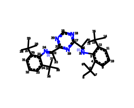 C/C(=N\c1c(C(C)(C)C)cccc1C(C)(C)C)c1ncnc(/C(C)=N/c2c(C(C)(C)C)cccc2C(C)(C)C)n1